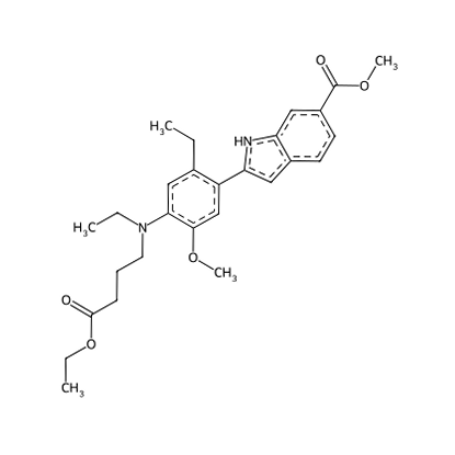 CCOC(=O)CCCN(CC)c1cc(CC)c(-c2cc3ccc(C(=O)OC)cc3[nH]2)cc1OC